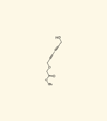 CC(C)(C)OC(=O)COCC#CC#CCO